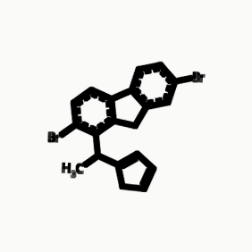 CC(C1=CC=CC1)c1c(Br)ccc2c1Cc1cc(Br)ccc1-2